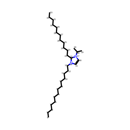 CCCCCCCCCCCCCCN1C=CN(C(C)C)C1CCCCCCCCCCCC